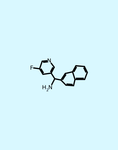 NC(c1cncc(F)c1)c1ccc2ccccc2c1